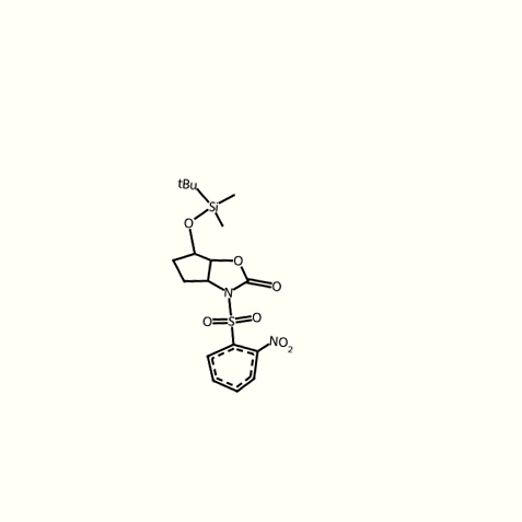 CC(C)(C)[Si](C)(C)OC1CCC2C1OC(=O)N2S(=O)(=O)c1ccccc1[N+](=O)[O-]